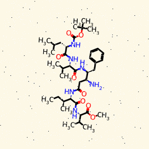 CC[C@H](C)[C@H](NC(=O)C[C@H](N)[C@H](Cc1ccccc1)NC(=O)[C@@H](NC(=O)[C@H](CC(C)C)NC(=O)OC(C)(C)C)C(C)C)C(=O)N[C@H](C(=O)OC)C(C)C